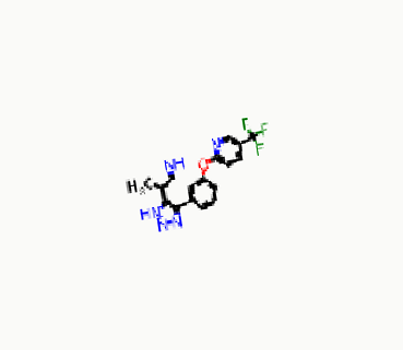 CC(C=N)c1[nH]nnc1-c1cccc(Oc2ccc(C(F)(F)F)cn2)c1